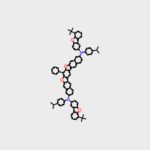 CC(C)c1ccc(N(c2ccc3cc4c(cc3c2)oc2c(-c3ccccc3)c3oc5cc6cc(N(c7ccc(C(C)C)cc7)c7ccc8oc9c(C(C)(C)C)cccc9c8c7)ccc6cc5c3cc24)c2ccc3oc4c(C(C)(C)C)cccc4c3c2)cc1